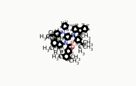 CC(C)(C)c1ccc(N(c2ccccc2)c2cc3c4c(c2)N(c2ccc5c(c2)C(C)(C)CCC5(C)C)c2c(oc5cc6c(cc25)C(C)(C)CCC6(C)C)B4c2cc(C(C)(C)C)ccc2N3c2cccc3c2C(C)(C)c2ccccc2-3)cc1